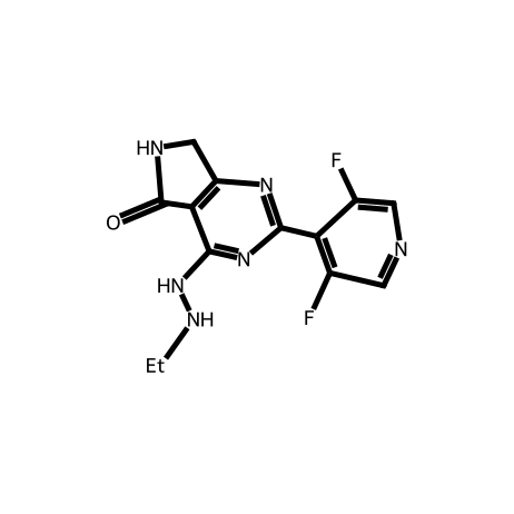 CCNNc1nc(-c2c(F)cncc2F)nc2c1C(=O)NC2